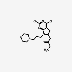 COC(=O)CC1Cc2c(Cl)nc(Cl)nc2N1CCCN1CCOCC1